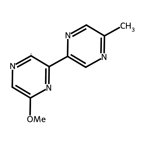 COc1cn[c]c(-c2cnc(C)cn2)n1